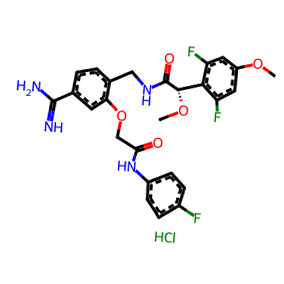 COc1cc(F)c([C@H](OC)C(=O)NCc2ccc(C(=N)N)cc2OCC(=O)Nc2ccc(F)cc2)c(F)c1.Cl